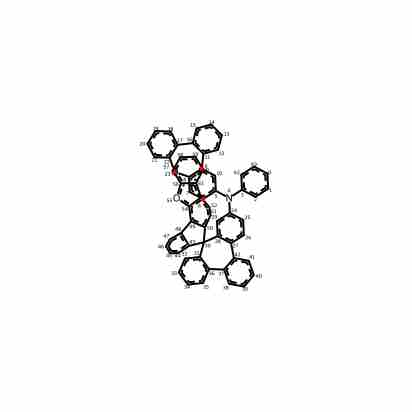 c1ccc(N(c2ccc3c(c2)-c2ccccc2-c2ccccc2O3)c2ccc3c(c2)C2(c4ccccc4-c4ccccc4-3)c3ccccc3-c3c2ccc2c3oc3ccccc32)cc1